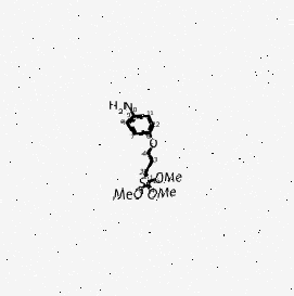 CO[Si](CCCOc1ccc(N)cc1)(OC)OC